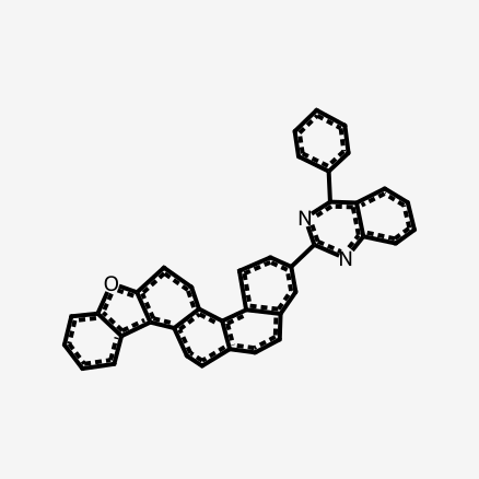 c1ccc(-c2nc(-c3ccc4c(ccc5ccc6c(ccc7oc8ccccc8c76)c54)c3)nc3ccccc23)cc1